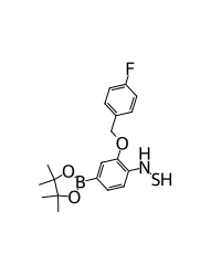 CC1(C)OB(c2ccc(NS)c(OCc3ccc(F)cc3)c2)OC1(C)C